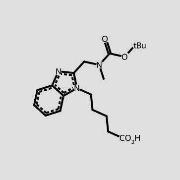 CN(Cc1nc2ccccc2n1CCCCC(=O)O)C(=O)OC(C)(C)C